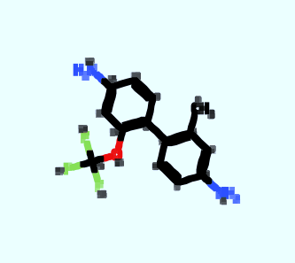 Cc1cc(N)ccc1-c1ccc(N)cc1OC(F)(F)F